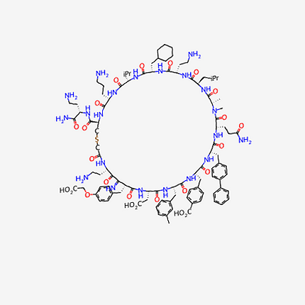 Cc1cccc(C[C@@H]2NC(=O)[C@H](CC(=O)O)NC(=O)[C@H](Cc3ccc(OCC(=O)O)cc3)C(=N)C(=O)[C@H](CCN)NC(=O)CSC[C@@H](C(=O)N[C@@H](CCN)C(N)=O)NC(=O)[C@H](CCCN)NC(=O)[C@H](C(C)C)NC(=O)[C@H](CC3CCCCC3)NC(=O)[C@H](CCN)NC(=O)[C@@H](CC(C)C)NC(=O)[C@H](C)N(C)C(=O)[C@H](CCC(N)=O)NC(=O)[C@H](Cc3ccc(-c4ccccc4)cc3)NC(=O)[C@H](Cc3ccc(C(=O)O)cc3)NC2=O)c1